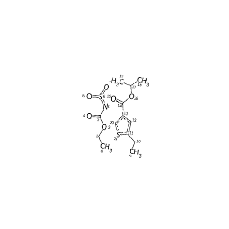 CCOC(=O)N=S(=O)=O.CCc1cc(C(=O)OC(C)C)cs1